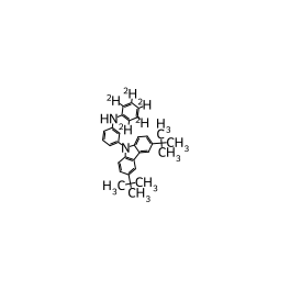 [2H]c1c([2H])c([2H])c(Nc2cccc(-n3c4ccc(C(C)(C)C)cc4c4cc(C(C)(C)C)ccc43)c2)c([2H])c1[2H]